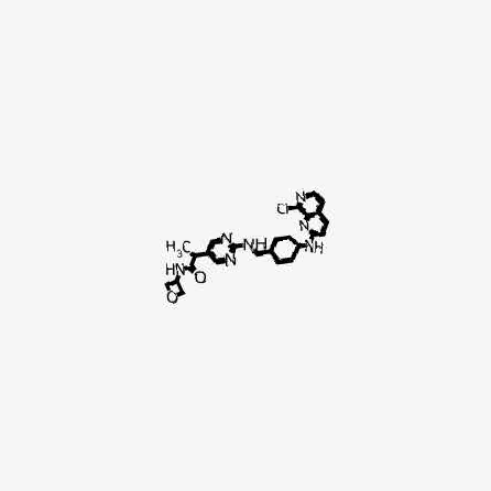 CC(C(=O)NC1COC1)c1cnc(NCC2CCC(Nc3ccc4ccnc(Cl)c4n3)CC2)nc1